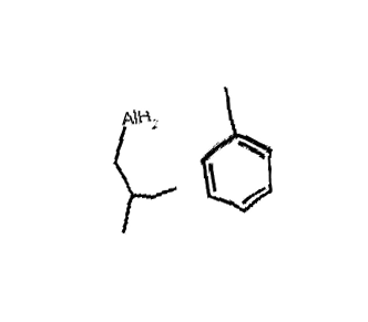 CC(C)[CH2][AlH2].Cc1ccccc1